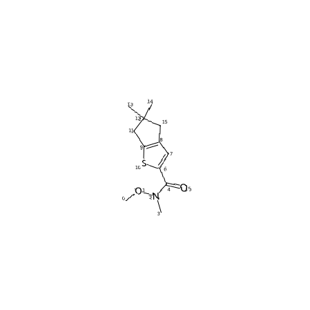 CON(C)C(=O)c1cc2c(s1)CC(C)(C)C2